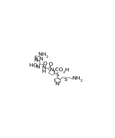 NCCSCc1cnccc1SC1=C(C(=O)O)N2C(=O)C(NC(=O)C(=NO)c3nsc(N)n3)C2CC1